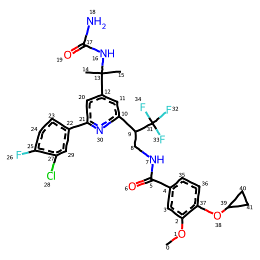 COc1cc(C(=O)NCC(c2cc(C(C)(C)NC(N)=O)cc(-c3ccc(F)c(Cl)c3)n2)C(F)(F)F)ccc1OC1CC1